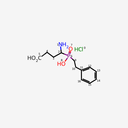 Cl.NC(CCC(=O)O)P(=O)(O)CCc1ccccc1